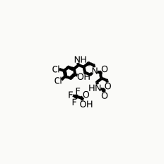 NC(c1cc(Cl)c(Cl)cc1O)C1CCN(C(=O)C2CNC(=O)OC2)CC1.O=C(O)C(F)(F)F